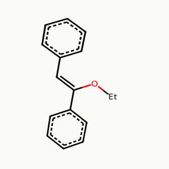 CCO/C(=C\c1ccccc1)c1ccccc1